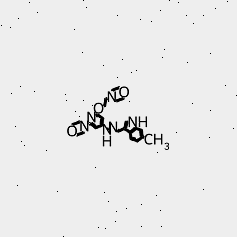 Cc1ccc2c(C=NNc3cc(OCCN4CCOCC4)nc(N4CCOCC4)c3)c[nH]c2c1